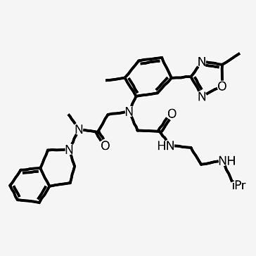 Cc1nc(-c2ccc(C)c(N(CC(=O)NCCNC(C)C)CC(=O)N(C)N3CCc4ccccc4C3)c2)no1